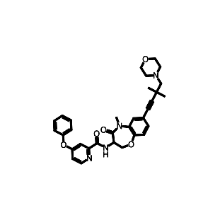 CN1C(=O)C(NC(=O)c2cc(Oc3ccccc3)ccn2)COc2ccc(C#CC(C)(C)CN3CCOCC3)cc21